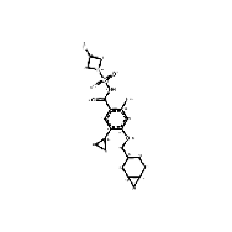 O=C(NS(=O)(=O)N1CC(F)C1)c1cc(C2CC2)c(OCC2CCC3CC3C2)cc1F